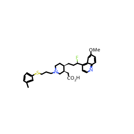 COc1ccc2nccc([C@H](F)CC[C@@H]3CCN(CCCSc4cccc(C)c4)C[C@@H]3CC(=O)O)c2c1